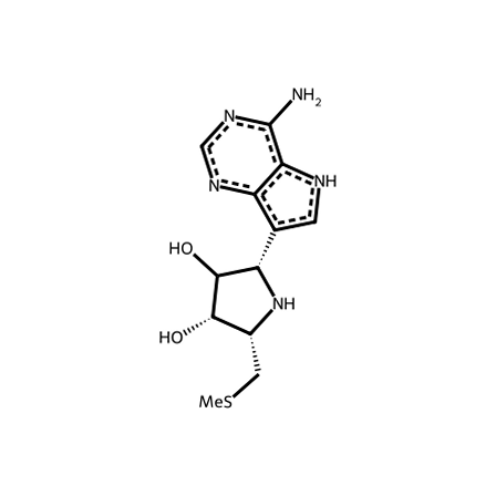 CSC[C@H]1N[C@@H](c2c[nH]c3c(N)ncnc23)C(O)[C@H]1O